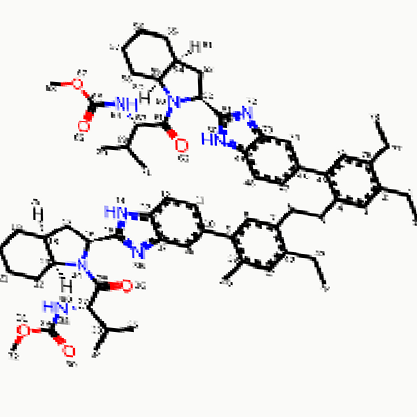 CCc1cc(CCc2cc(-c3ccc4[nH]c([C@@H]5C[C@@H]6CCCC[C@@H]6N5C(=O)[C@@H](NC(=O)OC)C(C)C)nc4c3)c(C)cc2CC)c(-c2ccc3[nH]c([C@@H]4C[C@@H]5CCCC[C@@H]5N4C(=O)[C@@H](NC(=O)OC)C(C)C)nc3c2)cc1CC